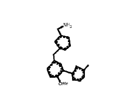 COc1ccc(Cc2cccc(CN)c2)cc1-c1cccc(C)c1